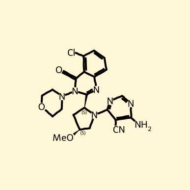 CO[C@H]1C[C@@H](c2nc3cccc(Cl)c3c(=O)n2N2CCOCC2)N(c2ncnc(N)c2C#N)C1